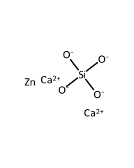 [Ca+2].[Ca+2].[O-][Si]([O-])([O-])[O-].[Zn]